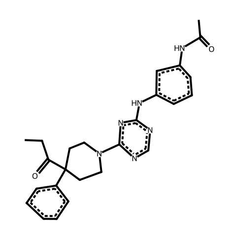 CCC(=O)C1(c2ccccc2)CCN(c2ncnc(Nc3cccc(NC(C)=O)c3)n2)CC1